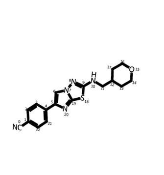 N#Cc1ccc(-c2cn3nc(NCC4CCOCC4)sc3n2)cc1